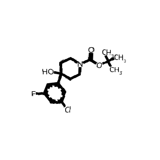 CC(C)(C)OC(=O)N1CCC(O)(c2cc(F)cc(Cl)c2)CC1